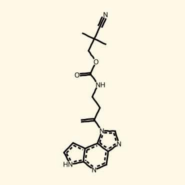 C=C(CCNC(=O)OCC(C)(C)C#N)n1cnc2cnc3[nH]ccc3c21